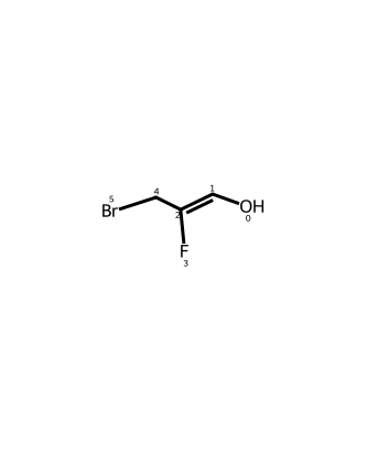 OC=C(F)CBr